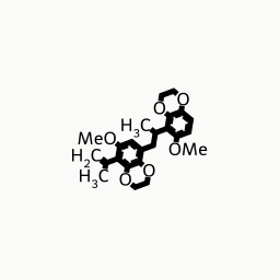 C=C(C)c1c(OC)cc(CC(C)c2c(OC)ccc3c2OCCO3)c2c1OCCO2